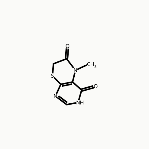 CN1C(=O)CSc2nc[nH]c(=O)c21